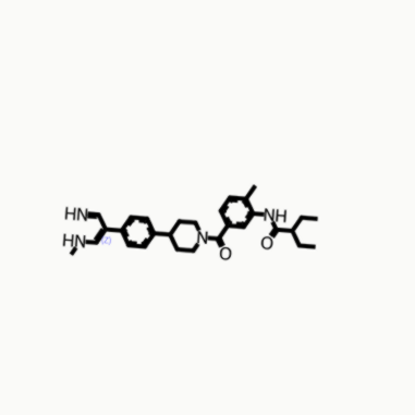 CCC(CC)C(=O)Nc1cc(C(=O)N2CCC(c3ccc(/C(C=N)=C/NC)cc3)CC2)ccc1C